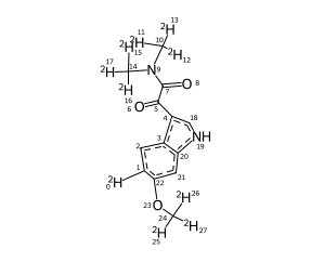 [2H]c1cc2c(C(=O)C(=O)N(C([2H])([2H])[2H])C([2H])([2H])[2H])c[nH]c2cc1OC([2H])([2H])[2H]